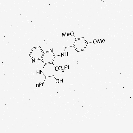 CCCC(CO)Nc1c(C(=O)OCC)c(NCc2ccc(OC)cc2OC)nc2cccnc12